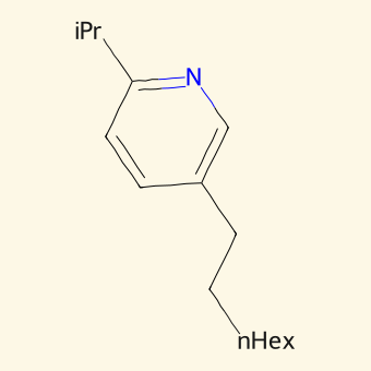 CCCCCCCCc1ccc(C(C)C)nc1